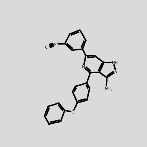 [C-]#[N+]c1cccc(-c2cc3[nH]nc(N)c3c(-c3ccc(Oc4ccccc4)cc3)n2)c1